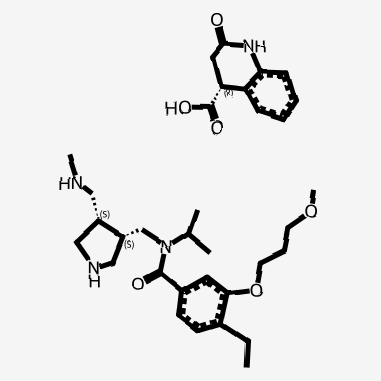 CCc1ccc(C(=O)N(C[C@@H]2CNC[C@@H]2CNC)C(C)C)cc1OCCCOC.O=C1C[C@@H](C(=O)O)c2ccccc2N1